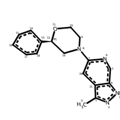 Cc1n[nH]c2cnc(N3CCO[C@H](c4ccccc4)C3)cc12